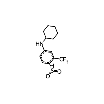 O=[SH](=O)c1ccc(NC2CCCCC2)cc1C(F)(F)F